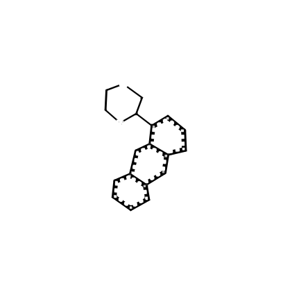 c1ccc2cc3c(C4COCC[N]4)cccc3cc2c1